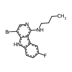 CCCCNc1ncc(Br)c2[nH]c3ccc(F)cc3c12